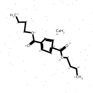 CCCCOC(=O)c1ccc(C(=O)OCCCC)cc1.[CaH2]